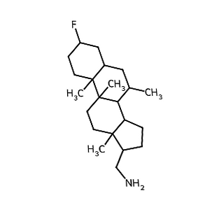 CC1CC2CC(F)CCC2(C)C2(C)CCC3(C)C(CN)CCC3C12